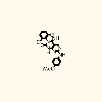 COc1ccc(Nc2ncc3c(=N)n(-c4c(Cl)cccc4Cl)c(=O)[nH]c3n2)cc1